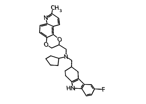 Cc1ccc2c3c(ccc2n1)OCC(CN(CC1CCc2[nH]c4ccc(F)cc4c2C1)C1CCCC1)O3